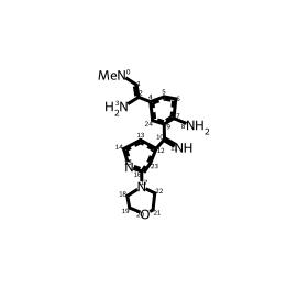 CN/C=C(\N)c1ccc(N)c(C(=N)c2ccnc(N3CCOCC3)c2)c1